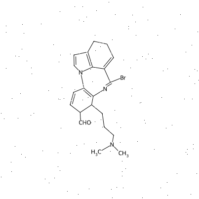 CN(C)CCCC1C2=C(C=CC1C=O)n1ccc3c1C(=CCC3)C(Br)=N2